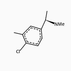 CN[C@H](C)c1ccc(Cl)c(C)c1